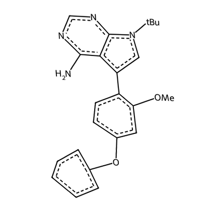 COc1cc(Oc2ccccc2)ccc1-c1cn(C(C)(C)C)c2ncnc(N)c12